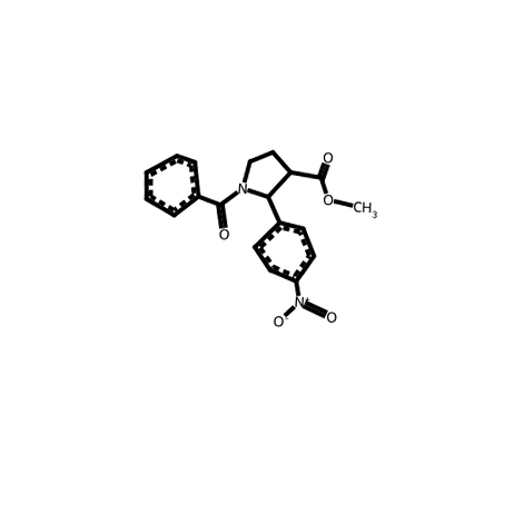 COC(=O)C1CCN(C(=O)c2ccccc2)C1c1ccc([N+](=O)[O-])cc1